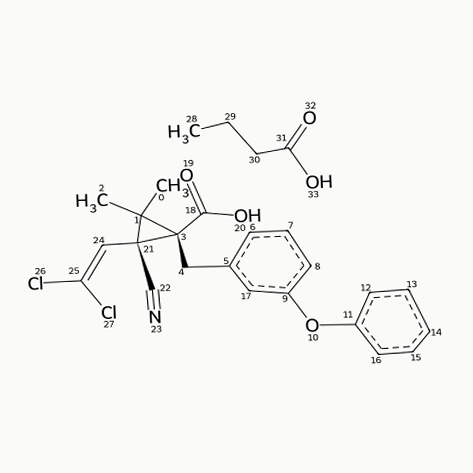 CC1(C)[C@](Cc2cccc(Oc3ccccc3)c2)(C(=O)O)[C@]1(C#N)C=C(Cl)Cl.CCCC(=O)O